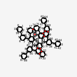 c1ccc(-c2cccc(-c3cc4c(c5oc6ccccc6c35)B3c5c(cc(-c6ccccc6)cc5N(c5ccc(-c6ccccc6)cc5-c5ccccc5)c5cc(-c6cccc(-c7ccccc7)c6)c6c(sc7ccccc76)c53)N4c3ccc(-c4ccccc4)cc3-c3ccccc3)c2)cc1